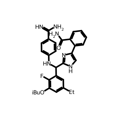 CCc1cc(OCC(C)C)c(F)c(C(Nc2ccc(C(=N)N)cc2)c2nc(-c3ccccc3C(N)=O)c[nH]2)c1